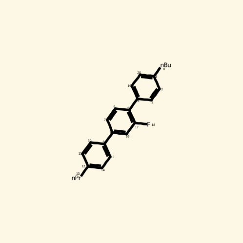 CCCCc1ccc(-c2ccc(-c3ccc(CCC)cc3)cc2F)cc1